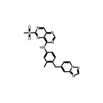 Cc1cc(Nc2ncnc3cnc(S(C)(=O)=O)nc23)ccc1Cc1ccn2ncnc2c1